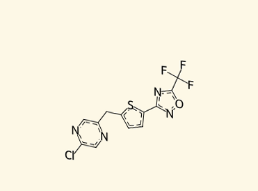 FC(F)(F)c1nc(-c2ccc(Cc3cnc(Cl)cn3)s2)no1